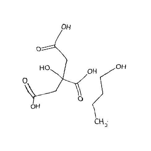 O=C(O)CC(O)(CC(=O)O)C(=O)O.[CH2]CCCO